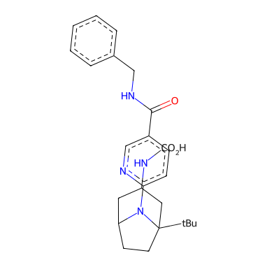 CC(C)(C)C12CCC(CC(NC(=O)O)C1)N2c1ccc(C(=O)NCc2ccccc2)cn1